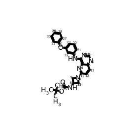 CC(C)(C)OC(=O)NC1CN(c2ccc3ncnc(Nc4cccc(Oc5ccccc5)c4)c3n2)C1